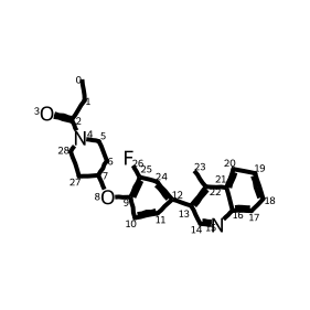 CCC(=O)N1CCC(Oc2ccc(-c3cnc4ccccc4c3C)cc2F)CC1